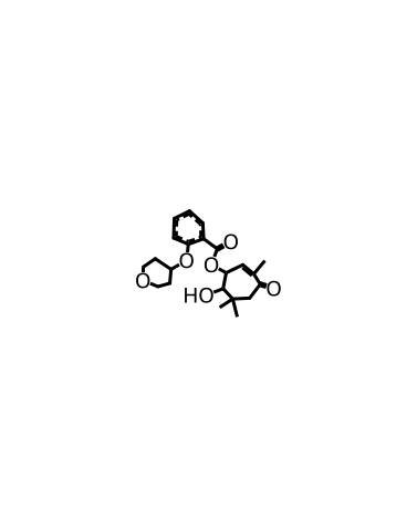 CC1=CC(OC(=O)c2ccccc2OC2CCOCC2)C(O)C(C)(C)CC1=O